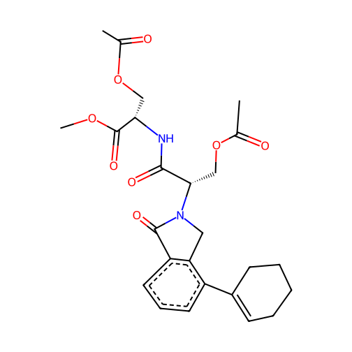 COC(=O)[C@H](COC(C)=O)NC(=O)[C@H](COC(C)=O)N1Cc2c(cccc2C2=CCCCC2)C1=O